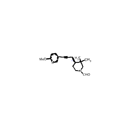 COc1ccc(C#C/C=C2\CCN(C=O)CC2(C)C)cn1